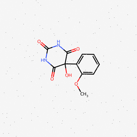 COc1ccccc1C1(O)C(=O)NC(=O)NC1=O